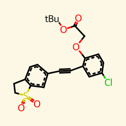 CC(C)(C)OC(=O)COc1ccc(Cl)cc1C#Cc1ccc2c(c1)S(=O)(=O)CC2